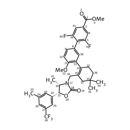 COC(=O)c1cc(F)c(-c2ccc(OC)c(C3=C(CN4C(=O)O[C@H](c5cc(C)cc(C(F)(F)F)c5)[C@@H]4C)CC(C)(C)CC3)c2)c(F)c1